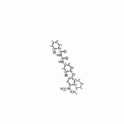 CN(C)c1ccc(Oc2ncc(NC(=O)NC(=O)c3ccccc3Cl)cc2Br)c2c1CCCC2